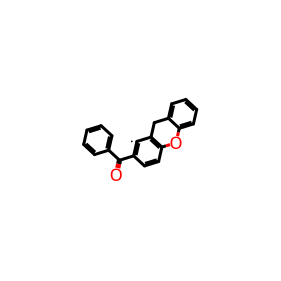 O=C(c1[c]c2c(cc1)Oc1ccccc1C2)c1ccccc1